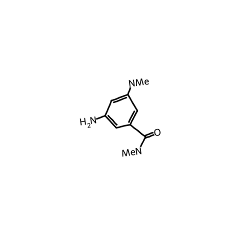 CNC(=O)c1cc(N)cc(NC)c1